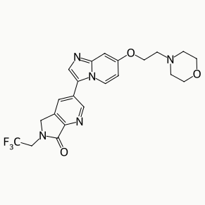 O=C1c2ncc(-c3cnc4cc(OCCN5CCOCC5)ccn34)cc2CN1CC(F)(F)F